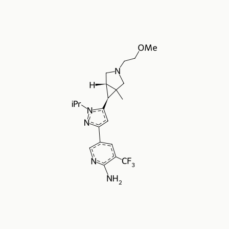 COCCN1C[C@H]2[C@H](c3cc(-c4cnc(N)c(C(F)(F)F)c4)nn3C(C)C)C2(C)C1